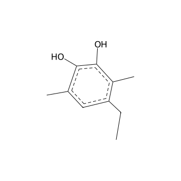 CCc1cc(C)c(O)c(O)c1C